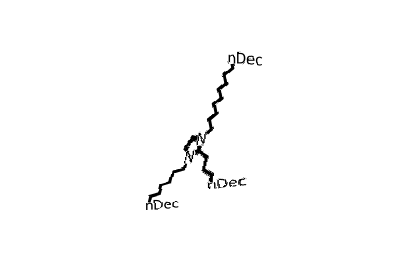 CCCCCCCCCCCCCCCCCCCn1cc[n+](CCCCCCCCCCCCCCCC)c1CCCCCCCCCCCCC